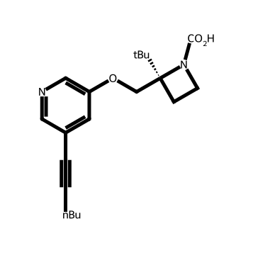 CCCCC#Cc1cncc(OC[C@]2(C(C)(C)C)CCN2C(=O)O)c1